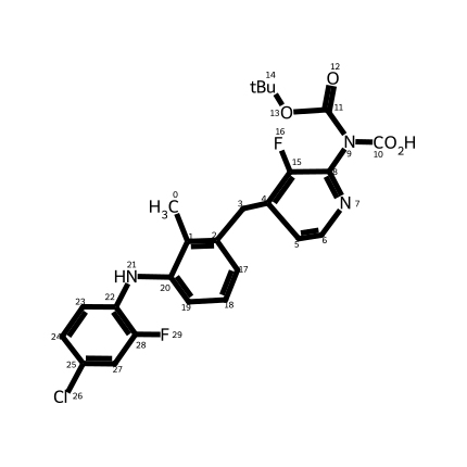 Cc1c(Cc2ccnc(N(C(=O)O)C(=O)OC(C)(C)C)c2F)cccc1Nc1ccc(Cl)cc1F